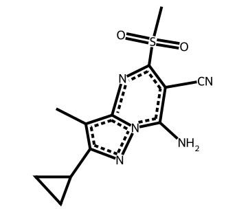 Cc1c(C2CC2)nn2c(N)c(C#N)c(S(C)(=O)=O)nc12